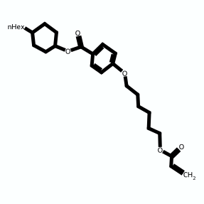 C=CC(=O)OCCCCCCOc1ccc(C(=O)OC2CCC(CCCCCC)CC2)cc1